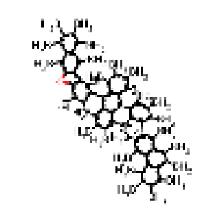 Bc1c(B)c(-c2c(B)c(B)c3c(c2B)c(B)c(B)c2c(B)c(B)c(B)c(B)c23)c(B)c(-c2c3c(B)c(B)c(B)c(B)c3c(-c3c(B)c(B)c4oc5c(B)c6c(B)c(B)c(B)c(B)c6c(B)c5c4c3B)c3c(B)c(B)c(B)c(B)c23)c1B